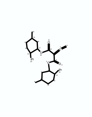 C=C=C(C(=O)OC1CC(C)CCC1C(C)C)C(=O)OC1CC(C)CCC1C(C)C